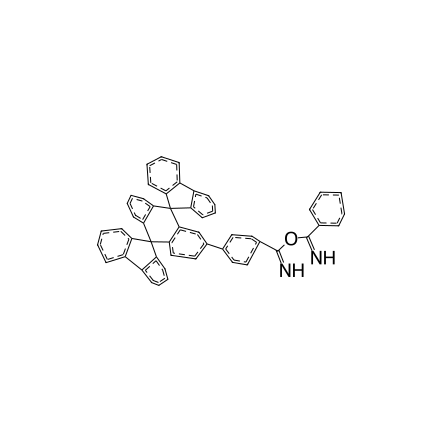 N=C(OC(=N)c1ccc(-c2ccc3c(c2)C2(c4ccccc4-c4ccccc42)c2ccccc2C32c3ccccc3-c3ccccc32)cc1)c1ccccc1